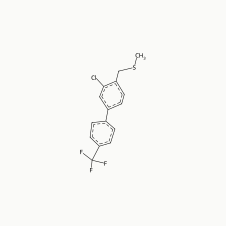 CSCc1ccc(-c2ccc(C(F)(F)F)cc2)cc1Cl